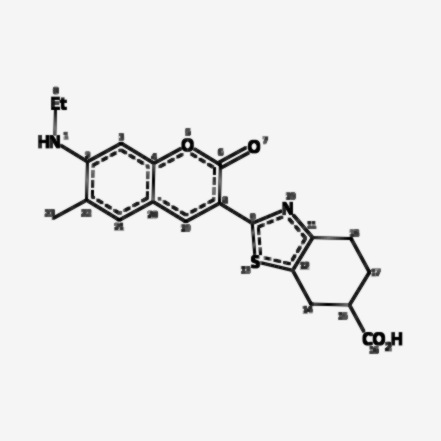 CCNc1cc2oc(=O)c(-c3nc4c(s3)CC(C(=O)O)CC4)cc2cc1C